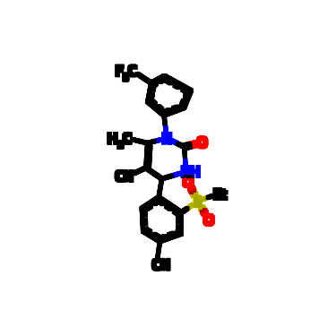 [C-]#[N+]C1=C(C)N(c2cccc(C(F)(F)F)c2)C(=O)NC1c1ccc(C#N)cc1S(=O)(=O)CC